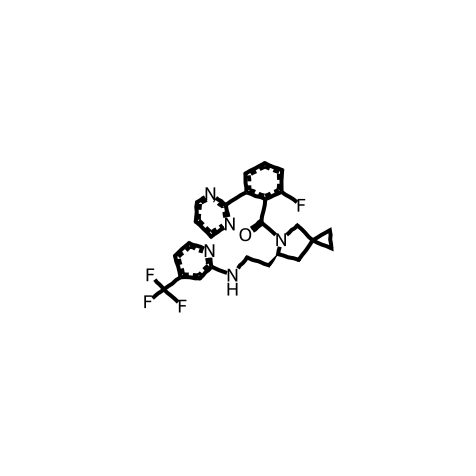 O=C(c1c(F)cccc1-c1ncccn1)N1CC2(CC2)C[C@H]1CCNc1cc(C(F)(F)F)ccn1